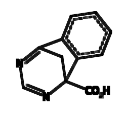 O=C(O)C12CC(=NC=N1)c1ccccc12